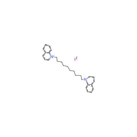 [I-].[I-].c1ccc2c(c1)ccc[n+]2CCCCCCCCCC[n+]1cccc2ccccc21